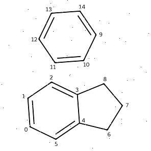 c1ccc2c(c1)CCC2.c1ccccc1